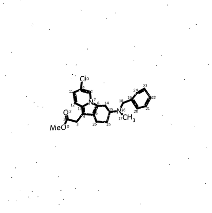 COC(=O)Cc1c2c(n3cc(Cl)ccc13)CC(N(C)Cc1ccccc1)CC2